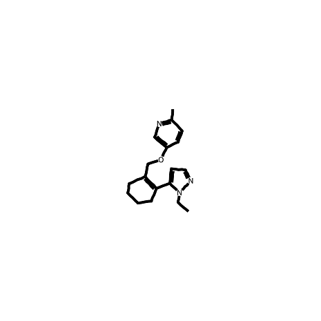 CCn1nccc1C1=C(COc2ccc(C)nc2)CCCC1